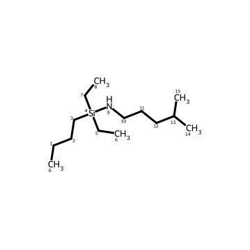 CCCC[Si](CC)(CC)NCCCC(C)C